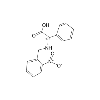 O=C(O)[C@@H](NCc1ccccc1[N+](=O)[O-])c1ccccc1